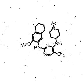 COc1cc2c(cc1Nc1ncc(C(F)(F)F)c(NC3CCN(C(C)=O)CC3)n1)CCCC2